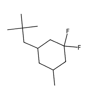 CC1CC(CC(C)(C)C)CC(F)(F)C1